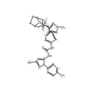 Cc1ccc(-n2nc(C(C)(C)C)cc2NC(=O)Nc2ccc(CC3CC4CCC(C3)N4S(=O)(=O)c3cn(C)cn3)cc2)cc1